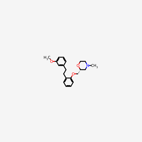 COc1cccc(CCc2ccccc2OC[C@H]2CN(C)CCO2)c1